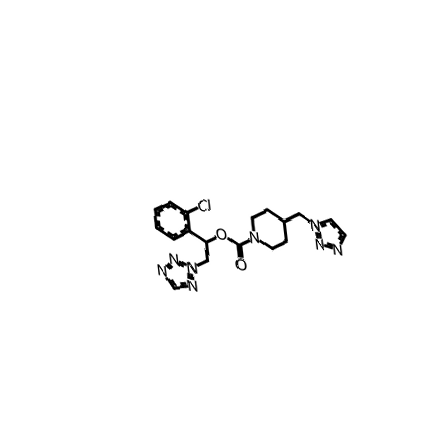 O=C(OC(Cn1ncnn1)c1ccccc1Cl)N1CCC(Cn2ccnn2)CC1